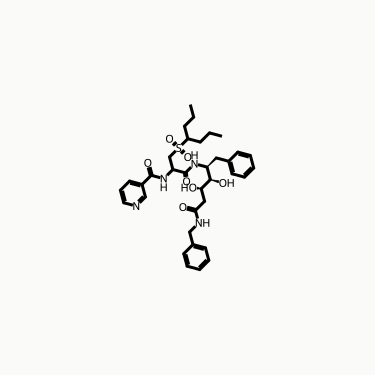 CCCC(CCC)S(=O)(=O)CC(NC(=O)c1cccnc1)C(=O)N[C@@H](Cc1ccccc1)[C@@H](O)[C@H](O)CC(=O)NCc1ccccc1